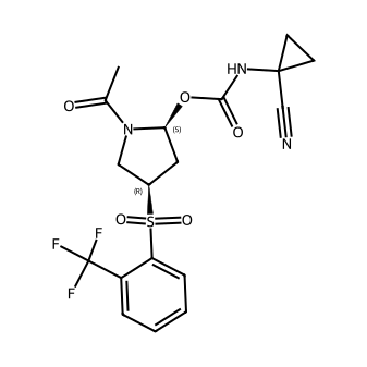 CC(=O)N1C[C@H](S(=O)(=O)c2ccccc2C(F)(F)F)C[C@@H]1OC(=O)NC1(C#N)CC1